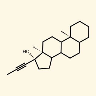 CC#C[C@]1(O)CCC2C3CCC4CCCC[C@]4(C)C3CC[C@@]21C